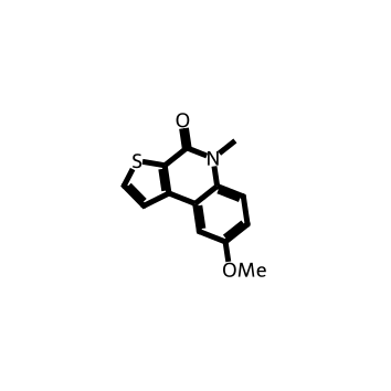 COc1ccc2c(c1)c1ccsc1c(=O)n2C